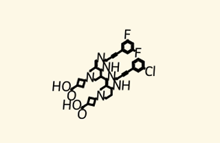 O=C(O)C1CC(N2CCC3NC(C#Cc4cccc(Cl)c4)=NC(C4CN(C5CC(C(=O)O)C5)CC5=CN=C(C#Cc6cc(F)cc(F)c6)NC54)=C3C2)C1